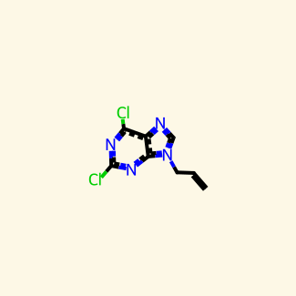 C=CCn1cnc2c(Cl)nc(Cl)nc21